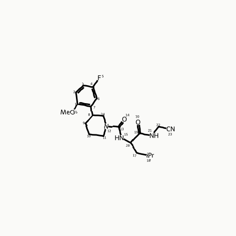 COc1ccc(F)cc1C1CCCN(C(=O)NC(CC(C)C)C(=O)NCC#N)C1